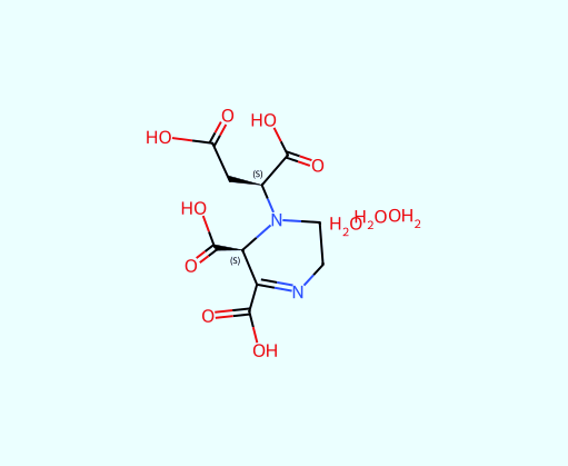 O.O.O.O=C(O)C[C@@H](C(=O)O)N1CCN=C(C(=O)O)[C@H]1C(=O)O